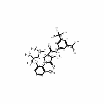 Cc1cccc(C)c1N1C[C@@](CN(C)CC(C)C)(C(=O)Nc2cc(C(F)F)cc(C(F)(F)F)c2)C(C)C1=O